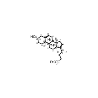 CCOC(=O)CC[C@@H](C)C1=CC[C@H]2[C@@H]3CC=C4C[C@@H](O)CC[C@]4(C)[C@H]3CC[C@]12C